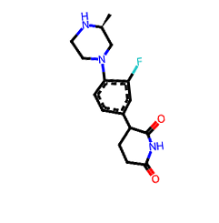 C[C@H]1CN(c2ccc(C3CCC(=O)NC3=O)cc2F)CCN1